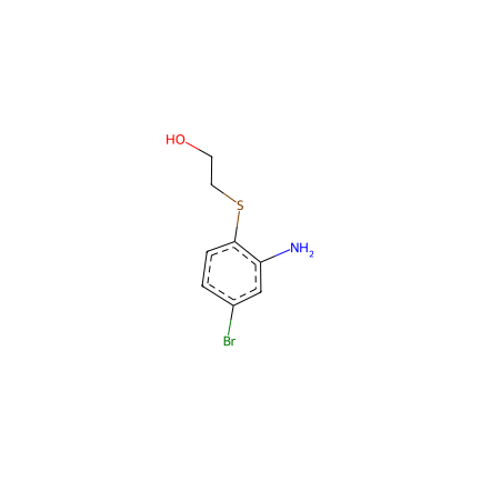 Nc1cc(Br)ccc1SCCO